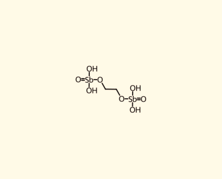 [O]=[Sb]([OH])([OH])[O]CC[O][Sb](=[O])([OH])[OH]